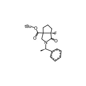 C[C@H](c1ccccc1)N1CC2(C(=O)OC(C)(C)C)CCC[C@]2(F)C1=O